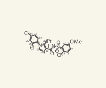 COc1ccc(Cl)c(S(=O)(=O)NC(=O)c2ncn(-c3ccc(Cl)cc3Cl)c2C(C)C)c1